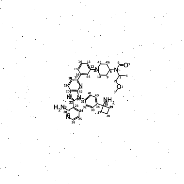 COCC(C)N(C=O)C1CCN(c2cccc(-c3ccc4nc(-c5cccnc5N)n(-c5ccc(C6(N)CCC6)cc5)c4n3)c2)CC1